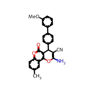 COc1cccc(-c2ccc(C3C(C#N)=C(N)Oc4c3c(=O)oc3ccc(C)cc43)cc2)c1